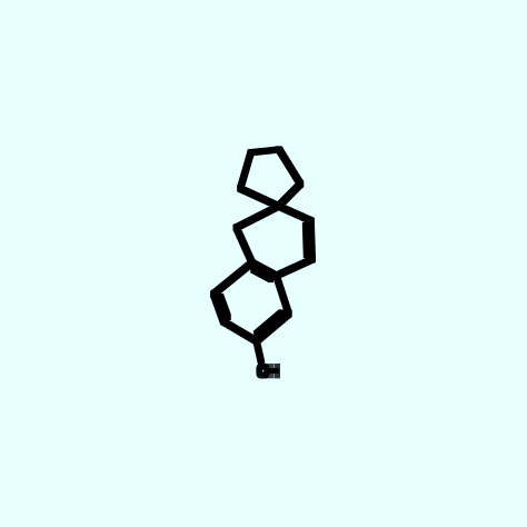 Oc1ccc2c(c1)C=CC1(CCCC1)C2